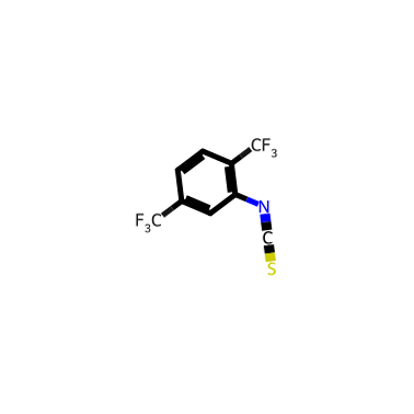 FC(F)(F)c1ccc(C(F)(F)F)c(N=C=S)c1